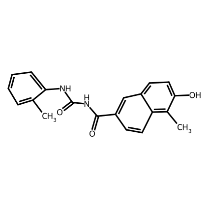 Cc1ccccc1NC(=O)NC(=O)c1ccc2c(C)c(O)ccc2c1